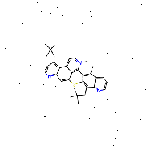 Cc1c2c(c(CC(C)(C)C)c3ncccc13)Sc1cc3nccc(CC(C)(C)C)c3c3cc[n+](C)c-2c13